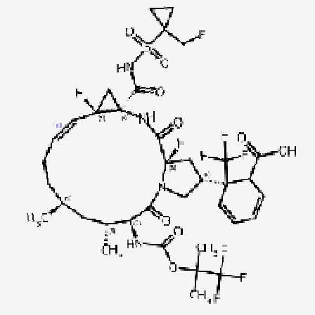 C[C@H]1CC/C=C\[C@@H]2C[C@@]2(C(=O)NS(=O)(=O)C2(CF)CC2)NC(=O)[C@@H]2C[C@H](C3(C(F)(F)F)C=CC=CC3C(=O)O)CN2C(=O)[C@@H](NC(=O)OC(C)(C)C(F)(F)F)[C@H](C)C1